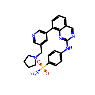 NS(=O)(=O)c1ccc(Nc2ncc3cccc(-c4cncc(CN5CCCC5)c4)c3n2)cc1